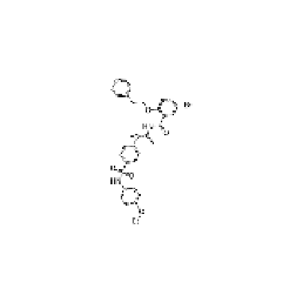 CCOc1ccc(NS(=O)(=O)c2ccc(NC(=S)NC(=O)c3cc(Br)ccc3OCCc3ccccc3)cc2)cc1